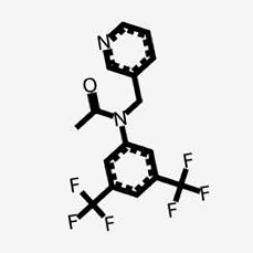 CC(=O)N(Cc1cccnc1)c1cc(C(F)(F)F)cc(C(F)(F)F)c1